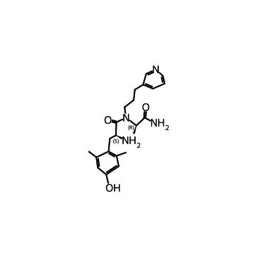 Cc1cc(O)cc(C)c1C[C@H](N)C(=O)N(CCCc1cccnc1)[C@H](C)C(N)=O